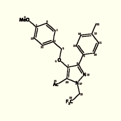 COc1ccc(COc2c(-c3ccc(C)cc3)nn(CC(F)(F)F)c2C(C)=O)cc1